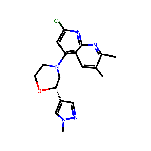 Cc1cc2c(N3CCO[C@@H](c4cnn(C)c4)C3)cc(Cl)nc2nc1C